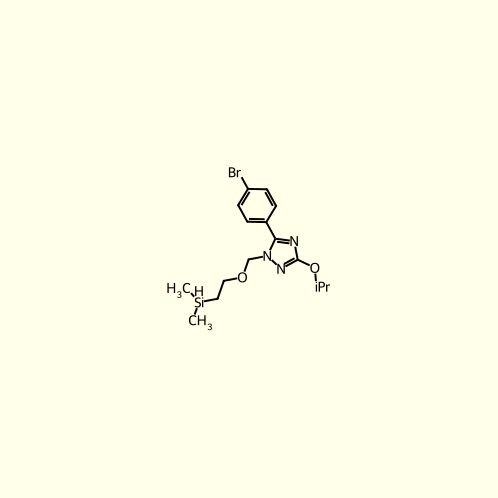 CC(C)Oc1nc(-c2ccc(Br)cc2)n(COCC[SiH](C)C)n1